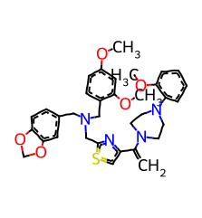 C=C(c1csc(CN(Cc2ccc3c(c2)OCO3)Cc2ccc(OC)cc2OC)n1)N1CCN(c2ccccc2OC)CC1